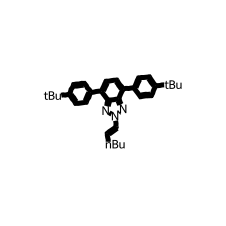 CCCCC=Cn1nc2c(-c3ccc(C(C)(C)C)cc3)ccc(-c3ccc(C(C)(C)C)cc3)c2n1